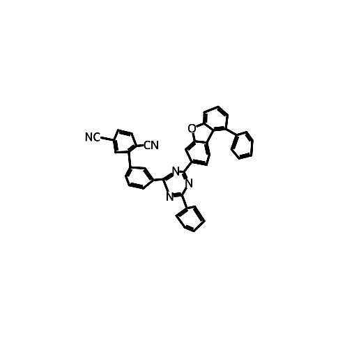 N#Cc1ccc(C#N)c(-c2cccc(-c3nc(-c4ccccc4)nc(-c4ccc5c(c4)oc4cccc(-c6ccccc6)c45)n3)c2)c1